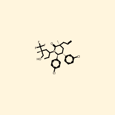 C=CC[C@@]1(C)C[C@H](c2cccc(Cl)c2)[C@@H](c2ccc(Cl)cc2)N(C(CC)C[C@](C)(CO)C(F)(F)F)C1=O